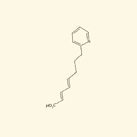 O=C(O)/C=C/C=CCCCc1ccccn1